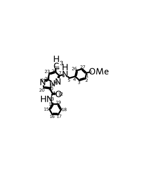 COc1ccc(CNc2nn3c(C(=O)Nc4ccccc4)cnc3cc2C)cc1